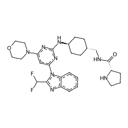 O=C(NC[C@H]1CC[C@H](Nc2nc(N3CCOCC3)cc(-n3c(C(F)F)nc4ccccc43)n2)CC1)[C@@H]1CCCN1